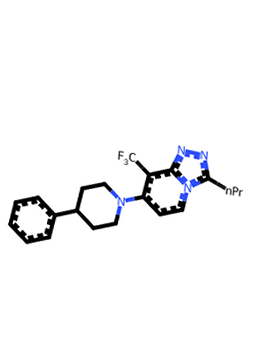 CCCc1nnc2c(C(F)(F)F)c(N3CCC(c4ccccc4)CC3)ccn12